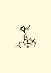 COc1ccoc1CO[C@@H]1[C@H]2OC(C)(CF)O[C@H]2O[C@@H]1CC(C)C